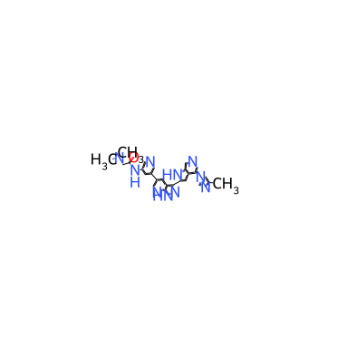 Cc1cn(-c2cncc3[nH]c(-c4n[nH]c5ncc(-c6cncc(NC(=O)CN(C)C)c6)cc45)cc23)cn1